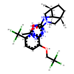 Cc1nnc(N2C[C@H]3CC[C@@H](C2)[C@@H]3Nc2nc3c(OCC(F)(F)F)ccc(C(F)(F)F)n3n2)o1